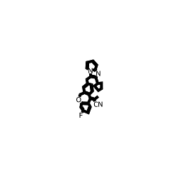 CC(C#N)=C1c2ccc(Cc3c(C4CCCC4)nc4ccccn34)cc2COc2cc(F)ccc21